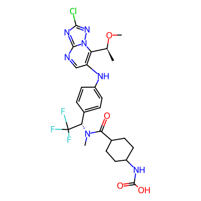 CO[C@@H](C)c1c(Nc2ccc([C@H](N(C)C(=O)C3CCC(NC(=O)O)CC3)C(F)(F)F)cc2)cnc2nc(Cl)nn12